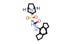 CN1[C@@H]2CC[C@H]1C[C@@H](S(=O)(=O)NC(=O)Nc1c3c(cc4c1CCC4)CCC3)C2